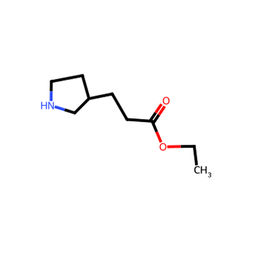 CCOC(=O)CCC1CCNC1